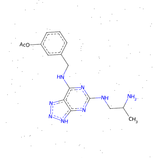 CC(=O)Oc1cccc(CNc2nc(NCC(C)N)nc3[nH]nnc23)c1